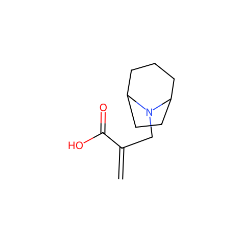 C=C(CN1C2CCCC1CC2)C(=O)O